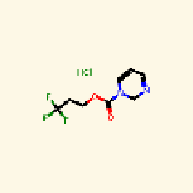 Cl.O=C(OCCC(F)(F)F)N1C=CC=NC1